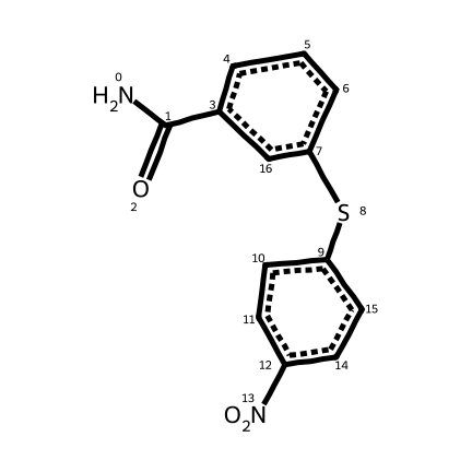 NC(=O)c1cccc(Sc2ccc([N+](=O)[O-])cc2)c1